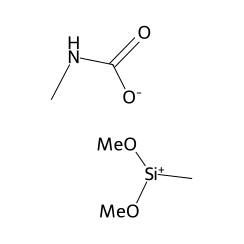 CNC(=O)[O-].CO[Si+](C)OC